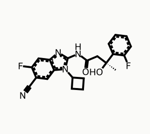 C[C@](O)(CC(=O)Nc1nc2cc(F)c(C#N)cc2n1C1CCC1)c1ccccc1F